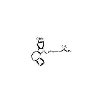 CCCCN(C)CCCCCn1c2c(c3cc(OC)ccc31)CCSc1ccccc1-2